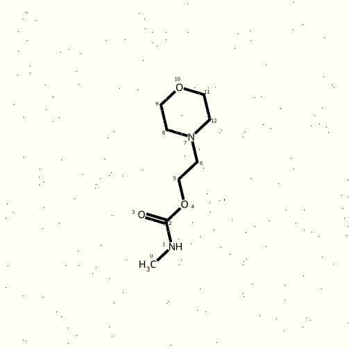 CNC(=O)OCCN1CCOCC1